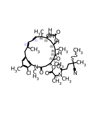 CSSC(C)(C#N)CCC(=O)N(C)[C@@H](C)C(=O)O[C@H]1CC(=O)N(C)c2cc(cc(C)c2Cl)C/C(C)=C/C=C/[C@@H](C)[C@@]2(O)C[C@H](OC(=O)N2)[C@@H](C)[C@@H]2O[C@@]12C